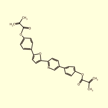 C=C(C)C(=O)Oc1ccc(-c2ccc(-c3ccc(-c4ccc(OC(=O)C(=C)C)cc4)o3)nc2)cc1